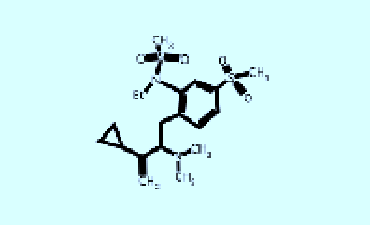 C=C(C1CC1)C(Cc1ccc(S(C)(=O)=O)cc1N(CC)S(C)(=O)=O)N(C)C